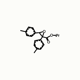 Cc1ccc(C2OC2(C(=O)OC(C)C)c2ccc(C)cc2)cc1